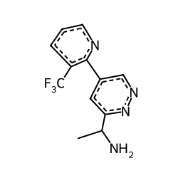 CC(N)c1cc(-c2ncccc2C(F)(F)F)cnn1